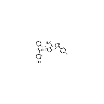 C[C@@H]1C2=C(CC[C@@H]2CC(NC(=O)c2ccc(O)cn2)c2ccccc2)Cc2c1cnn2-c1ccc(F)cc1